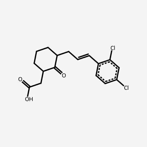 O=C(O)CC1CCCC(CC=Cc2ccc(Cl)cc2Cl)C1=O